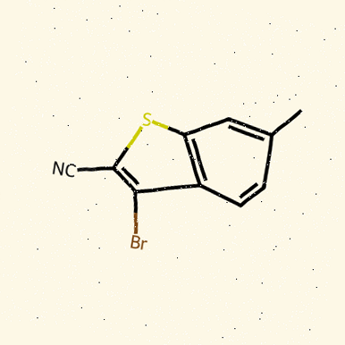 Cc1ccc2c(Br)c(C#N)sc2c1